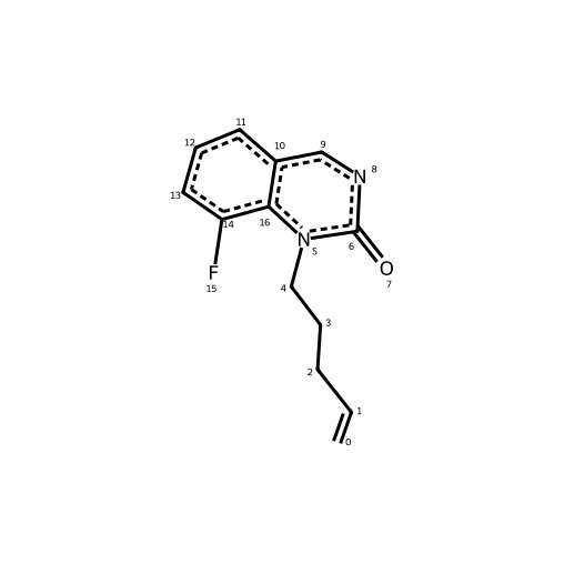 C=CCCCn1c(=O)ncc2cccc(F)c21